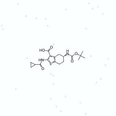 CC(C)(C)OC(=O)N[C@H]1CCc2sc(NC(=O)C3CC3)c(C(=O)O)c2C1